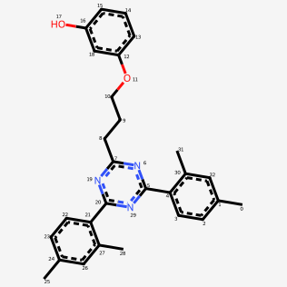 Cc1ccc(-c2nc([CH]CCOc3cccc(O)c3)nc(-c3ccc(C)cc3C)n2)c(C)c1